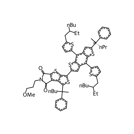 CCCCC(CC)Cc1ccc(-c2c3cc([C@](C)(CCC)c4ccccc4)sc3c(-c3ccc(CC(CC)CCCC)s3)c3cc(-c4sc(C(C)(CCCC)c5ccccc5)c5c6c(sc45)C(=O)N(CCCOC)C6=O)sc23)s1